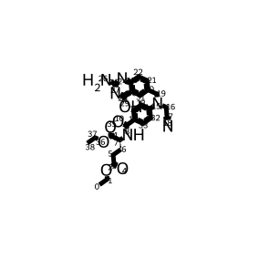 CCOC(=O)CC[C@@H](NC(=O)c1ccc(N(CC#N)Cc2ccc3nc(N)nc(O)c3c2)cc1)C(=O)OCC